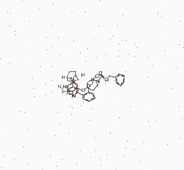 COCOc1ccccc1-c1cc(N2C[C@H]3CC[C@@H](C2)N3c2cc(F)c(F)c(OC3CCN(C(=O)OCc4ccccc4)CC3)c2)c(N)nn1